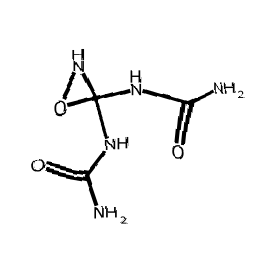 NC(=O)NC1(NC(N)=O)NO1